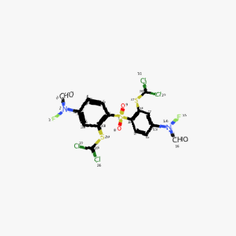 O=CN(F)c1ccc(S(=O)(=O)c2ccc(N(F)C=O)cc2SC(Cl)Cl)c(SC(Cl)Cl)c1